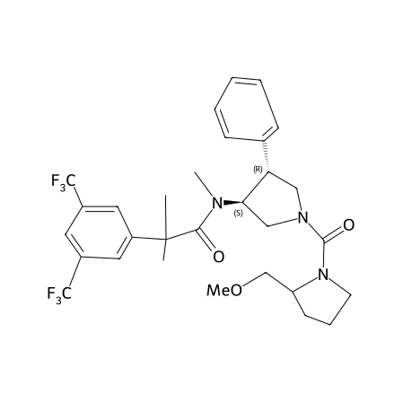 COCC1CCCN1C(=O)N1C[C@@H](N(C)C(=O)C(C)(C)c2cc(C(F)(F)F)cc(C(F)(F)F)c2)[C@H](c2ccccc2)C1